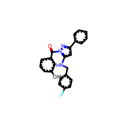 COc1cccc(C(=O)n2nc(-c3ccccc3)cc2NCc2ccc(F)cc2)c1